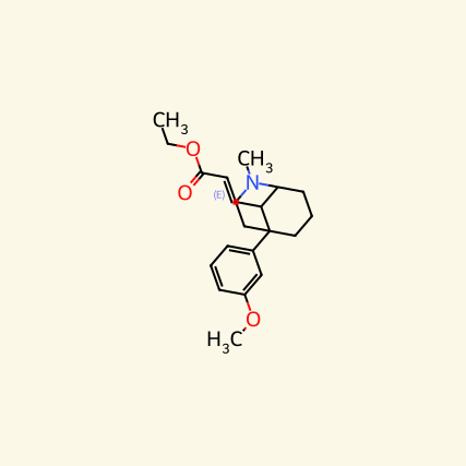 CCOC(=O)/C=C/C1C2CCCC1(c1cccc(OC)c1)CCN2C